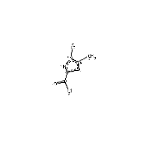 CCn1nc(C(=O)Cl)cc1C